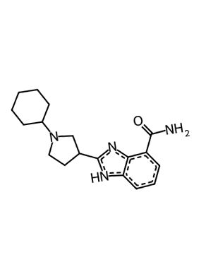 NC(=O)c1cccc2[nH]c(C3CCN(C4CCCCC4)C3)nc12